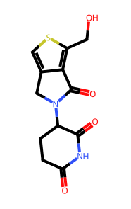 O=C1CCC(N2Cc3csc(CO)c3C2=O)C(=O)N1